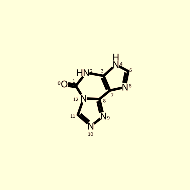 O=c1[nH]c2[nH]cnc2c2nncn12